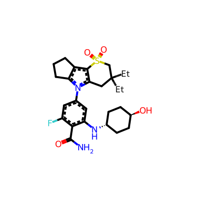 CCC1(CC)Cc2c(c3c(n2-c2cc(F)c(C(N)=O)c(N[C@H]4CC[C@H](O)CC4)c2)CCC3)S(=O)(=O)C1